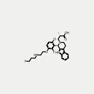 C[C@@H](CN1CCc2c([nH]c3ccccc23)[C@H]1c1c(Cl)ccc(OCCNCCCF)c1F)C(=O)O